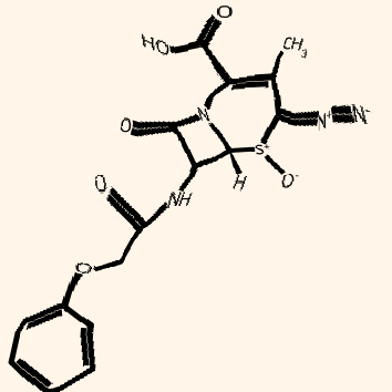 CC1=C(C(=O)O)N2C(=O)C(NC(=O)COc3ccccc3)[C@H]2[S+]([O-])C1=[N+]=[N-]